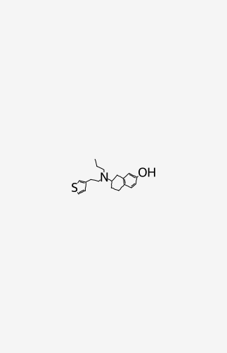 CCCN(CCc1ccsc1)C1CCc2ccc(O)cc2C1